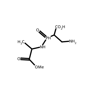 COC(=O)C(C)N[PH](=O)C(CN)C(=O)O